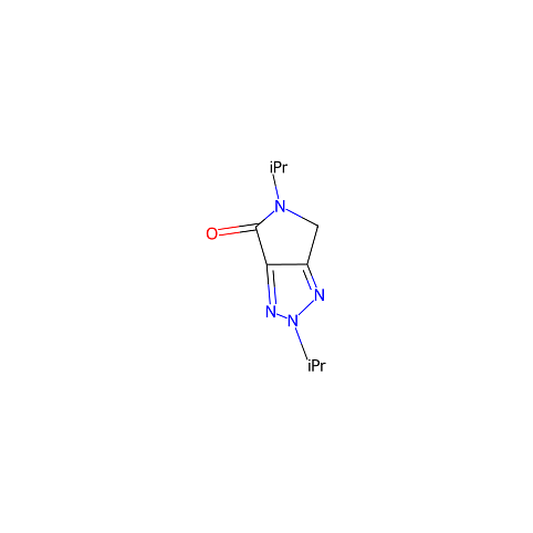 CC(C)N1Cc2nn(C(C)C)nc2C1=O